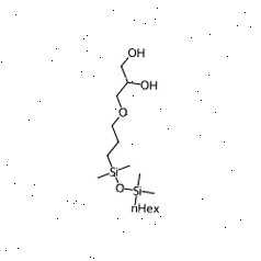 CCCCCC[Si](C)(C)O[Si](C)(C)CCCOCC(O)CO